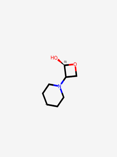 O[C@H]1OCC1N1CC[CH]CC1